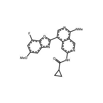 CNc1ncc(-c2nc3cc(OC)cc(F)c3o2)c2cc(NC(=O)C3CC3)ncc12